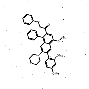 CCCCOc1cc(C(=O)OCc2ccccc2)c(-c2ccccc2)c2cc(N3CCOCC3)c(-c3ccc(OC)cc3OC)cc12